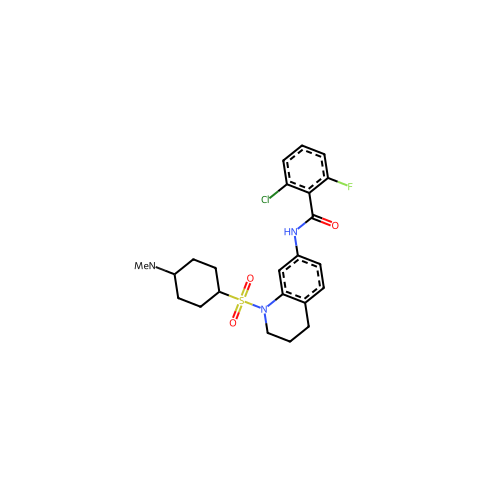 CNC1CCC(S(=O)(=O)N2CCCc3ccc(NC(=O)c4c(F)cccc4Cl)cc32)CC1